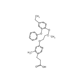 CCc1ccc(O[C@H](C)CCOc2cc(C)c(CCC(=O)O)cn2)c(Oc2ccccc2)c1